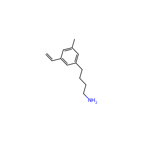 C=Cc1cc(C)cc(CCCCN)c1